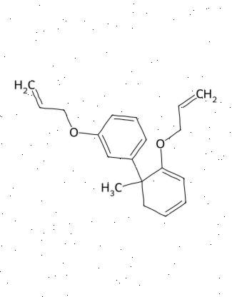 C=CCOC1=CC=CCC1(C)c1cccc(OCC=C)c1